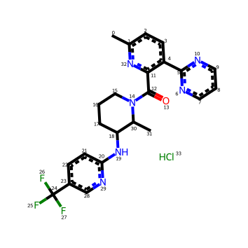 Cc1ccc(-c2ncccn2)c(C(=O)N2CCCC(Nc3ccc(C(F)(F)F)cn3)C2C)n1.Cl